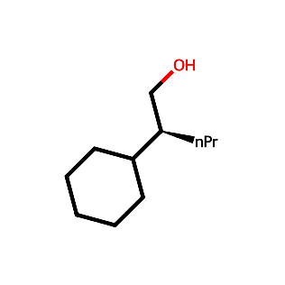 CCC[C@H](CO)C1CCCCC1